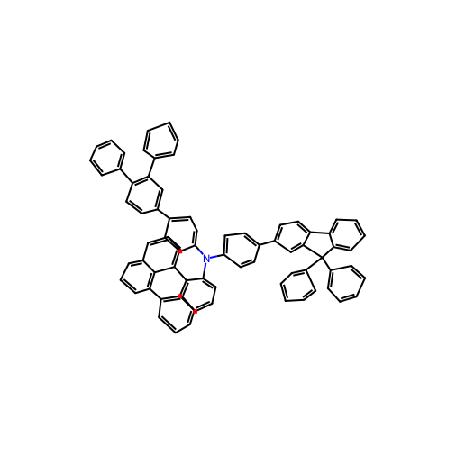 c1ccc(-c2ccc(-c3ccc(N(c4ccc(-c5ccc6c(c5)C(c5ccccc5)(c5ccccc5)c5ccccc5-6)cc4)c4ccccc4-c4cccc5cccc(-c6ccccc6)c45)cc3)cc2-c2ccccc2)cc1